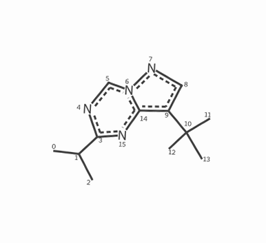 CC(C)c1ncn2ncc(C(C)(C)C)c2n1